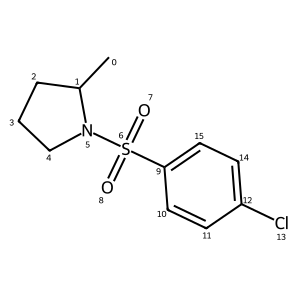 CC1CCCN1S(=O)(=O)c1ccc(Cl)cc1